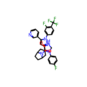 O=C(c1cc(-c2cccnc2)n(-c2ccc(C(F)(F)F)c(F)c2)n1)N1C2CCC1CC1(C2)C(=O)NCN1c1ccc(F)cc1